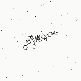 CC(=O)N1CCN(c2ccc(S(=O)(=O)N3CC(=O)N(c4cc(-c5ccccc5)sc4C(=O)O)C(C4CCCCC4)C3)cn2)CC1